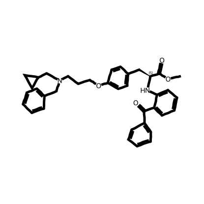 COC(=O)[C@H](Cc1ccc(OCCCN(Cc2ccccc2)CC2CC2)cc1)Nc1ccccc1C(=O)c1ccccc1